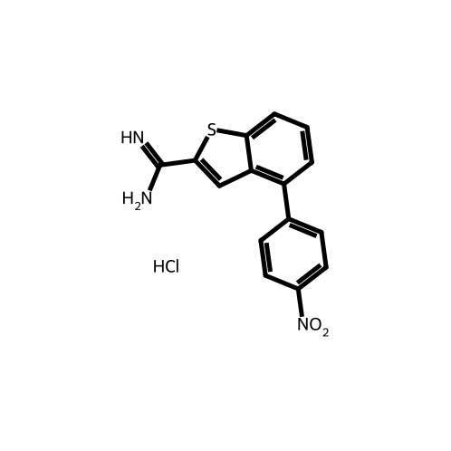 Cl.N=C(N)c1cc2c(-c3ccc([N+](=O)[O-])cc3)cccc2s1